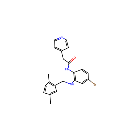 Cc1ccc(C)c(CNc2cc(Br)ccc2NC(=O)Cc2ccncc2)c1